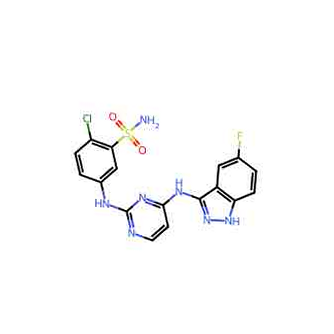 NS(=O)(=O)c1cc(Nc2nccc(Nc3n[nH]c4ccc(F)cc34)n2)ccc1Cl